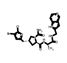 C[C@H](NC(=O)[C@H]1C[C@H](Cc2cc(Br)c(Cl)s2)CN1C(N)=O)C(=O)NCc1cc2cnccc2[nH]1